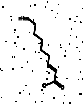 CCCCCCCCCCCC=CC(=O)Cl